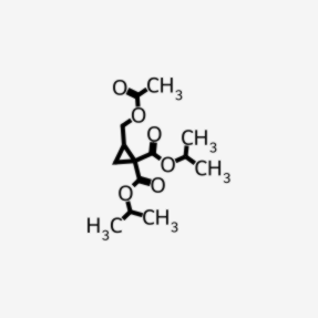 CC(=O)OCC1CC1(C(=O)OC(C)C)C(=O)OC(C)C